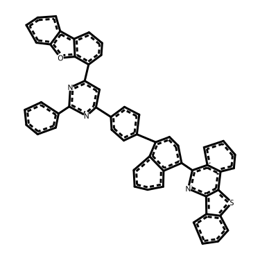 c1ccc(-c2nc(-c3ccc(-c4ccc(-c5nc6c7ccccc7sc6c6ccccc56)c5ccccc45)cc3)cc(-c3cccc4c3oc3ccccc34)n2)cc1